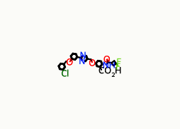 O=C(O)c1cc(OCc2cnc(-c3cccc(OCc4cccc(Cl)c4)c3)nc2)ccc1NC(=O)C1CC(F)(F)C1